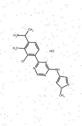 Cc1c(C(C)N)ccc(-c2ncnc(Nc3cnn(C)c3)n2)c1Cl.Cl